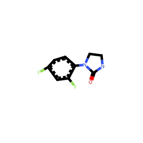 O=C1[N]CCN1c1ccc(F)cc1F